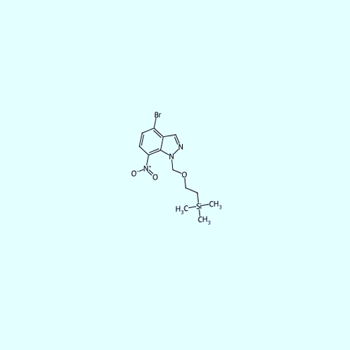 C[Si](C)(C)CCOCn1ncc2c(Br)ccc([N+](=O)[O-])c21